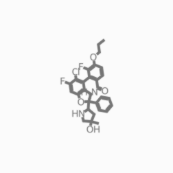 CCCOc1ccc(C(N)=O)c(-c2c(Cl)c(F)cc3c2CC(c2ccccc2)(C2CC(C)(O)CN2)O3)c1F